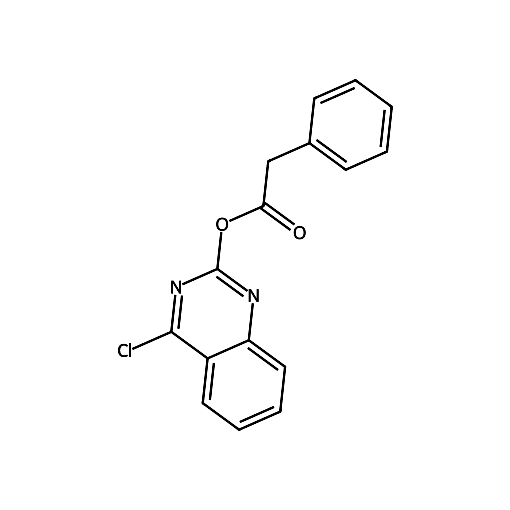 O=C(Cc1ccccc1)Oc1nc(Cl)c2ccccc2n1